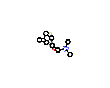 C1=CC2Sc3ccc(-c4ccc5oc6ccc(-c7nc(-c8ccccc8)nc(-c8ccccc8)n7)cc6c5c4)cc3C2C(C2c3ccccc3-c3ccccc32)=C1